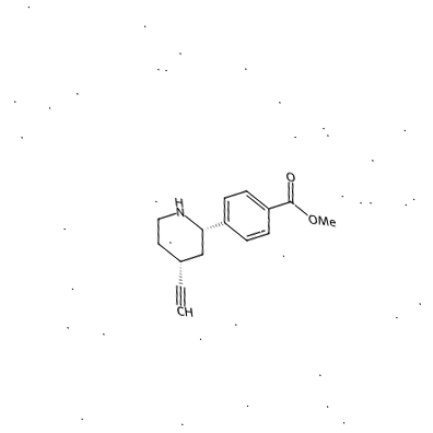 C#C[C@@H]1CCN[C@H](c2ccc(C(=O)OC)cc2)C1